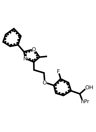 C[CH]CC(O)c1ccc(OCCc2nc(-c3ccccc3)oc2C)c(F)c1